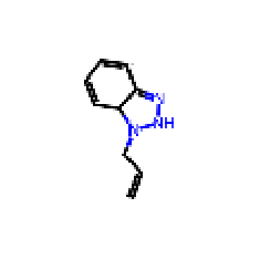 C=CCN1NN=C2[C]=CC=CC21